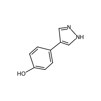 Oc1ccc(-c2cn[nH]c2)cc1